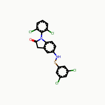 O=C1Cc2cc(NSc3cc(Cl)cc(Cl)c3)ccc2N1c1c(Cl)cccc1Cl